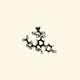 CC(=O)N1CCN(c2cc(S(=O)(=O)NC3(C#N)CC3)cc3c(-c4nnc(C(F)F)s4)nn(C)c23)CC1